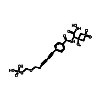 COC1(C(NC(=O)c2ccc(C#CC#CCCOCOP(=O)(O)O)cc2)C(=O)NO)CS(=O)(=O)C1